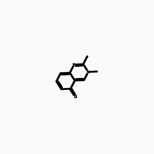 Cc1nc2cccc(=O)c-2cn1C